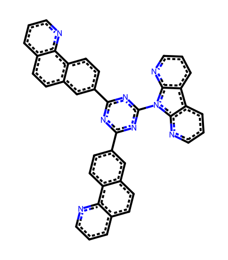 c1cnc2c(c1)ccc1cc(-c3nc(-c4ccc5c(ccc6cccnc65)c4)nc(-n4c5ncccc5c5cccnc54)n3)ccc12